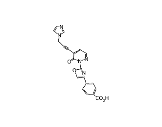 O=C(O)c1ccc(-c2coc(-n3nccc(C#CCn4ccnc4)c3=O)n2)cc1